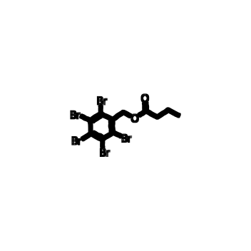 CCCC(=O)OCc1c(Br)c(Br)c(Br)c(Br)c1Br